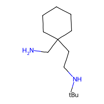 CC(C)(C)NCCC1(CN)CCCCC1